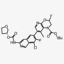 Cc1c(-c2cc3cc(NC(=O)O[C@@H]4CCOC4)ncc3c(Cl)c2F)cnc2c1N(C(=O)OC(C)(C)C)CC(F)O2